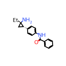 CC[C@]1(N)C[C@H]1c1ccc(NC(=O)c2ccccc2)cc1